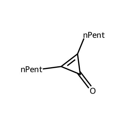 CCCCCc1c(CCCCC)c1=O